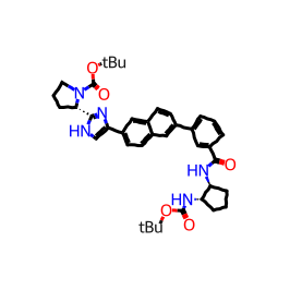 CC(C)(C)OC(=O)N[C@H]1CCC[C@@H]1NC(=O)c1cccc(-c2ccc3cc(-c4c[nH]c([C@@H]5CCCN5C(=O)OC(C)(C)C)n4)ccc3c2)c1